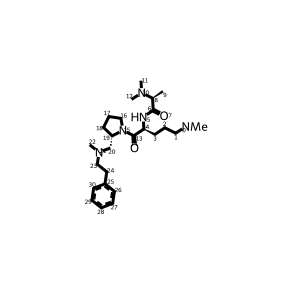 CNCCC[C@H](NC(=O)[C@H](C)N(C)C)C(=O)N1CCC[C@H]1CN(C)CCc1ccccc1